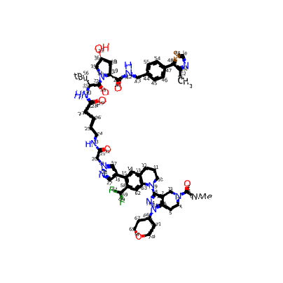 CNC(=O)N1CCc2c(c(N3CCCc4cc(-c5cnn(CC(=O)NCCCCC(=O)N[C@H](C(=O)N6C[C@H](O)C[C@H]6C(=O)NCc6ccc(-c7scnc7C)cc6)C(C)(C)C)c5)c(C(F)F)cc43)nn2C2CCOCC2)C1